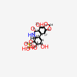 O=C1N[C@@H]2C(=C[C@H](O)[C@@H](O)[C@H]2OS(=O)(=O)O)c2cc3c(c(O)c21)OCO3